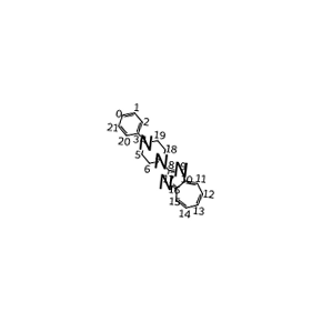 c1ccc(N2CCN(c3nc4cccccc-4n3)CC2)cc1